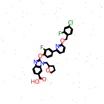 O=C(O)c1ccc2nc(Oc3ccc(-c4cccc(OCc5ccc(Cl)cc5F)n4)cc3F)n(CC3CCCO3)c2c1